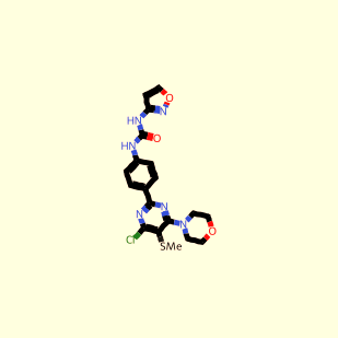 CSc1c(Cl)nc(-c2ccc(NC(=O)Nc3ccon3)cc2)nc1N1CCOCC1